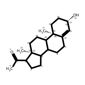 CC(=O)C1CCC2C3CCC4=C[C@@H](O)CC[C@]4(C)C3CC[C@]12C